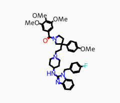 COc1ccc(C2(CCN3CCC(Nc4nc5ccccc5n4Cc4ccc(F)cc4)CC3)CCN(C(=O)c3cc(OC)c(OC)c(OC)c3)C2)cc1